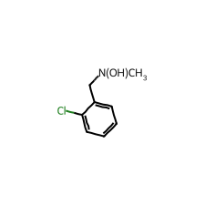 CN(O)Cc1ccccc1Cl